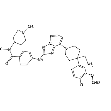 CN1CCC(N(C)C(=O)c2ccc(Nc3nc4c(N5CCC(CN)(c6ccc(Cl)c(OC=O)c6)CC5)cccn4n3)cc2)CC1